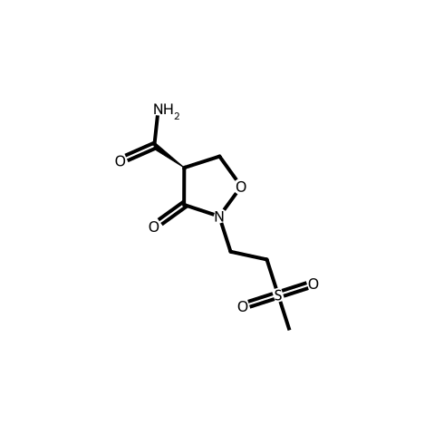 CS(=O)(=O)CCN1OC[C@H](C(N)=O)C1=O